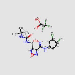 CC(C)(C)NC(=O)NCc1nonc1C(=NO)Nc1ccc(F)c(Cl)c1.O=C(O)C(F)(F)F